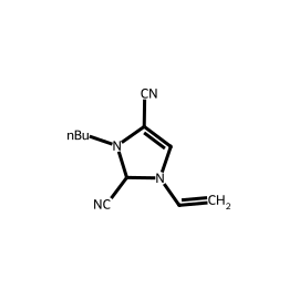 C=CN1C=C(C#N)N(CCCC)C1C#N